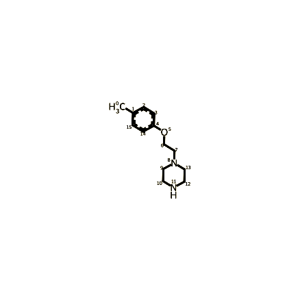 Cc1ccc(OCCN2CCNCC2)cc1